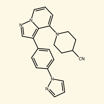 N#CC1CCN(c2cccn3ncc(-c4ccc(-n5cccn5)cc4)c23)CC1